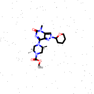 C[C@@H]1CN(c2nc(=O)n(C)c3cn(C4CCCCO4)nc23)[C@@H](C)CN1C(=O)OC(C)(C)C